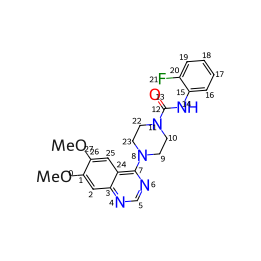 COc1cc2ncnc(N3CCN(C(=O)Nc4ccccc4F)CC3)c2cc1OC